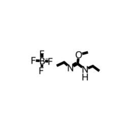 CCN=C(NCC)OC.F[B-](F)(F)F